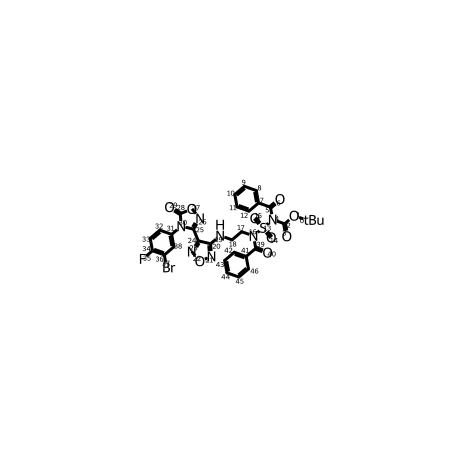 CC(C)(C)OC(=O)N(C(=O)c1ccccc1)S(=O)(=O)N(CCNc1nonc1-c1noc(=O)n1-c1ccc(F)c(Br)c1)C(=O)c1ccccc1